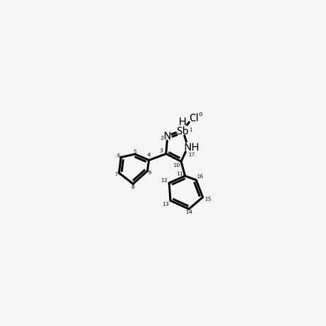 [Cl][SbH]1=[N]C(c2ccccc2)=C(c2ccccc2)[NH]1